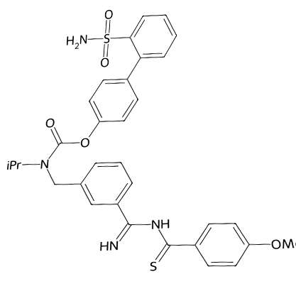 COc1ccc(C(=S)NC(=N)c2cccc(CN(C(=O)Oc3ccc(-c4ccccc4S(N)(=O)=O)cc3)C(C)C)c2)cc1